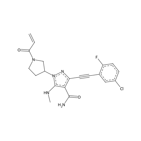 C=CC(=O)N1CCC(n2nc(C#Cc3cc(Cl)ccc3F)c(C(N)=O)c2NC)C1